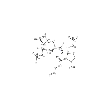 C=CCOC(=O)N1C(C(C)(C)C)CCC1(/C=C(\C)C(=O)C[C@H]1NC(=O)[C@@H]1[C@@](C)(O[SiH](C)C)C(C)(C)C)CO[SiH](C)C